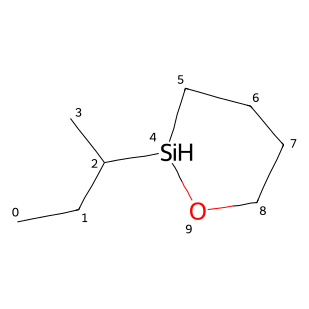 CCC(C)[SiH]1CCCCO1